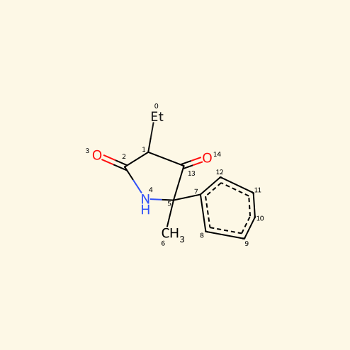 CCC1C(=O)NC(C)(c2ccccc2)C1=O